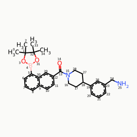 CC1(C)OB(c2cccc3ccc(C(=O)N4CCC(c5cccc(CN)c5)CC4)cc23)OC1(C)C